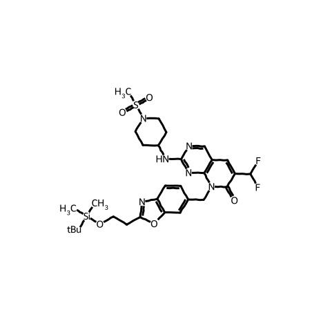 CC(C)(C)[Si](C)(C)OCCc1nc2ccc(Cn3c(=O)c(C(F)F)cc4cnc(NC5CCN(S(C)(=O)=O)CC5)nc43)cc2o1